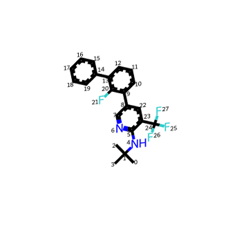 CC(C)(C)Nc1ncc(-c2cccc(-c3ccccc3)c2F)cc1C(F)(F)F